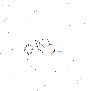 CC(C)(c1ccccc1)N1CCC(OC(N)=O)C1